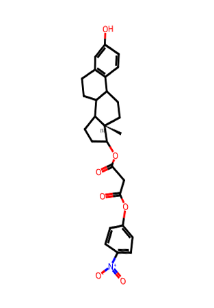 C[C@]12CCC3c4ccc(O)cc4CCC3C1CCC2OC(=O)CC(=O)Oc1ccc([N+](=O)[O-])cc1